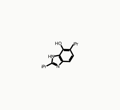 CC(C)c1nc2ccc(C(C)C)c(O)c2[nH]1